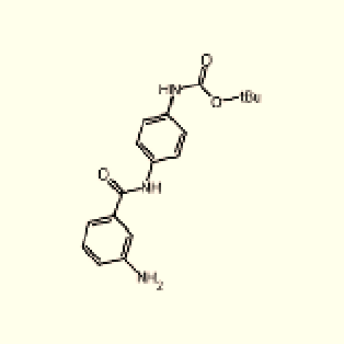 CC(C)(C)OC(=O)Nc1ccc(NC(=O)c2cccc(N)c2)cc1